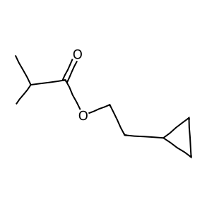 CC(C)C(=O)OCCC1CC1